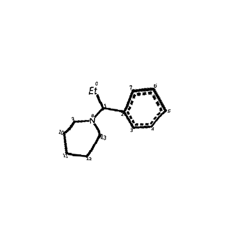 CC[C](c1ccccc1)N1CCCCC1